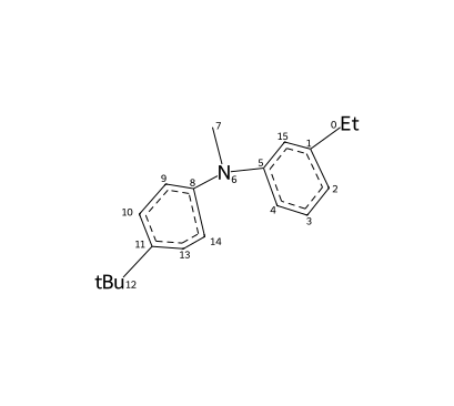 CCc1cccc(N(C)c2ccc(C(C)(C)C)cc2)c1